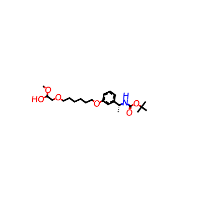 COC(O)COCCCCCCOc1cccc([C@@H](C)NC(=O)OC(C)(C)C)c1